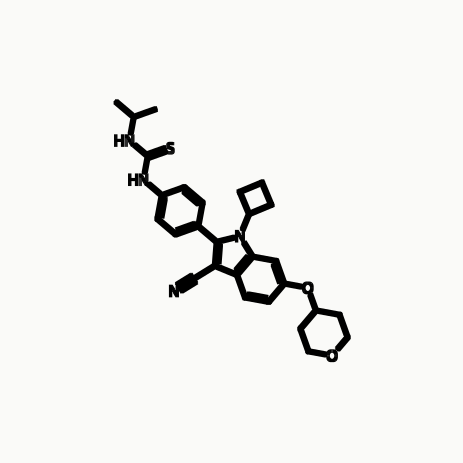 CC(C)NC(=S)Nc1ccc(-c2c(C#N)c3ccc(OC4CCOCC4)cc3n2C2CCC2)cc1